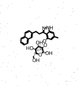 Cc1cc(OO[C@@H]2[C@@H](O)[C@H](O)[C@@H](CO)O[C@H]2O)c2c(CCc3ccc4ccccc4c3)n[nH]c2c1